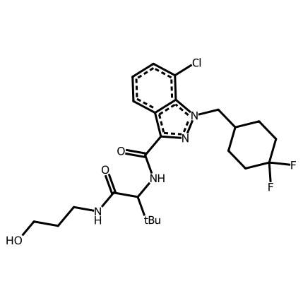 CC(C)(C)C(NC(=O)c1nn(CC2CCC(F)(F)CC2)c2c(Cl)cccc12)C(=O)NCCCO